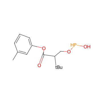 Cc1cccc(OC(=O)C(COPO)C(C)(C)C)c1